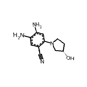 N#Cc1cc(N)c(N)cc1N1CC[C@H](O)C1